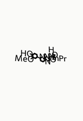 CCCS(=O)(=O)Nc1cnc2ccc(-c3ccc(O)c(OC)c3)nc2n1